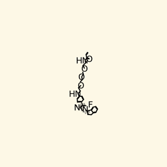 C=CC(=O)NCCOCCOCCOCCNc1ccc([C@H]2CN([C@H]3CCc4cccc(F)c43)C[C@@H]2N(C)C)cc1